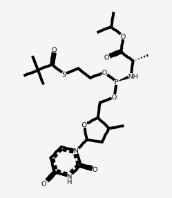 CC(C)OC(=O)[C@H](C)N[P@](OCCSC(=O)C(C)(C)C)OCC1OC(n2ccc(=O)[nH]c2=O)CC1C